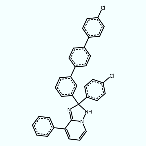 Clc1ccc(-c2ccc(-c3cccc(C4(c5ccc(Cl)cc5)N=C5C(c6ccccc6)=CC=CN5N4)c3)cc2)cc1